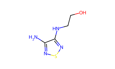 Nc1nsnc1NCCO